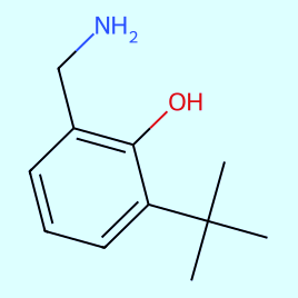 CC(C)(C)c1cccc(CN)c1O